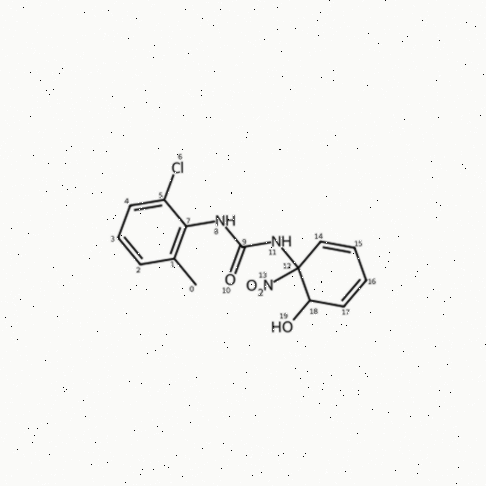 Cc1cccc(Cl)c1NC(=O)NC1([N+](=O)[O-])C=CC=CC1O